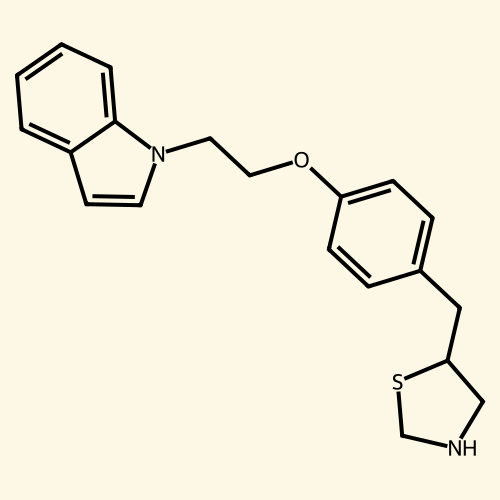 c1ccc2c(c1)ccn2CCOc1ccc(CC2CNCS2)cc1